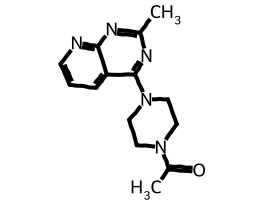 CC(=O)N1CCN(c2nc(C)nc3ncccc23)CC1